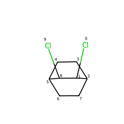 ClC1C2CCC(CC2)C1Cl